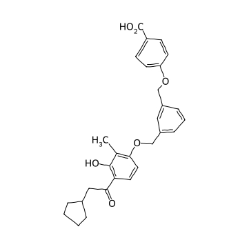 Cc1c(OCc2cccc(COc3ccc(C(=O)O)cc3)c2)ccc(C(=O)CC2CCCC2)c1O